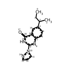 CCC(C)c1ccc2nc(-n3cccn3)[nH]c(=O)c2c1